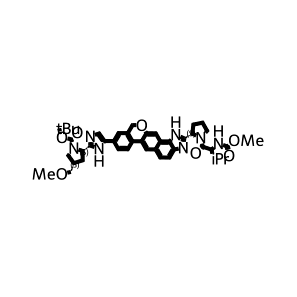 COC[C@H]1C[C@@H](c2ncc(-c3ccc4c(c3)COc3cc5c(ccc6nc([C@@H]7CCCN7C(=O)C(NC(=O)OC)C(C)C)[nH]c65)cc3-4)[nH]2)N(C(=O)OC(C)(C)C)C1